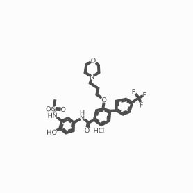 CS(=O)(=O)Nc1cc(NC(=O)c2ccc(-c3ccc(C(F)(F)F)cc3)c(OCCCN3CCOCC3)c2)ccc1O.Cl